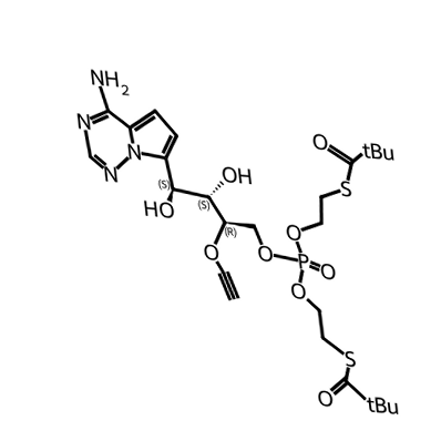 C#CO[C@H](COP(=O)(OCCSC(=O)C(C)(C)C)OCCSC(=O)C(C)(C)C)[C@@H](O)[C@@H](O)c1ccc2c(N)ncnn12